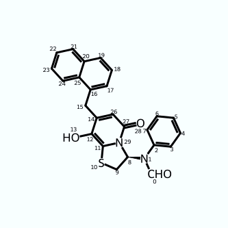 O=CN(c1ccccc1)[C@H]1CSc2c(O)c(Cc3cccc4ccccc34)cc(=O)n21